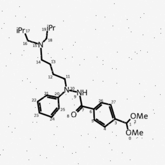 COC(OC)c1ccc(C(=O)NN(CCCCN(CC(C)C)CC(C)C)c2ccccc2)cc1